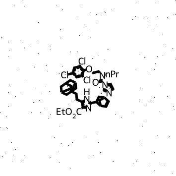 CCCN(CCOc1c(Cl)cc(Cl)cc1Cl)C(=O)n1ccnc1.CCOC(=O)c1nc(C2CC3C=CC2C3)[nH]c1CCC12CC3CC(CC(C3)C1)C2